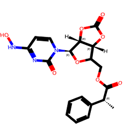 C[C@@H](C(=O)OCC1O[C@@H](n2ccc(NO)nc2=O)[C@@H]2OC(=O)O[C@H]12)c1ccccc1